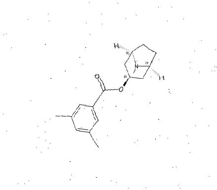 Cc1cc(C)cc(C(=O)O[C@H]2C[C@H]3CC[C@@H](C2)N3C)c1